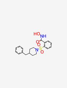 O=C(NO)c1ccccc1S(=O)(=O)N1CCC(Cc2ccccc2)CC1